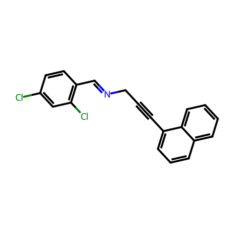 Clc1ccc(/C=N/CC#Cc2cccc3ccccc23)c(Cl)c1